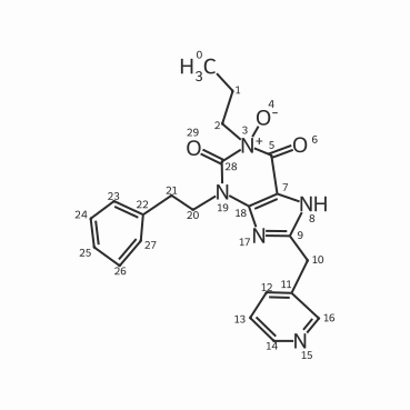 CCC[N+]1([O-])C(=O)c2[nH]c(Cc3cccnc3)nc2N(CCc2ccccc2)C1=O